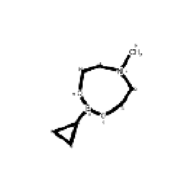 CN1CCOB(C2CC2)OCC1